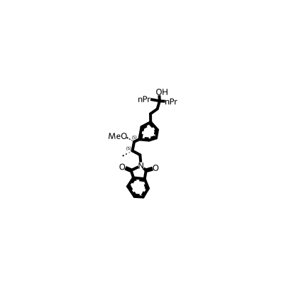 CCCC(O)(CCC)CCc1cccc([C@@H](OC)[C@@H](C)CN2C(=O)c3ccccc3C2=O)c1